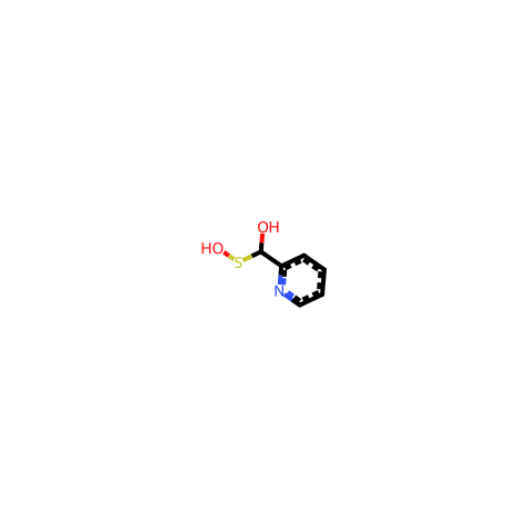 OSC(O)c1ccccn1